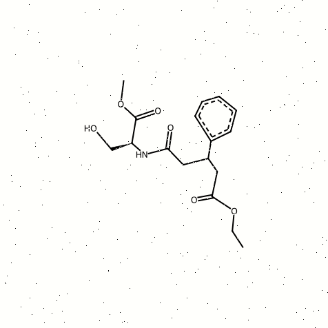 CCOC(=O)CC(CC(=O)N[C@@H](CO)C(=O)OC)c1ccccc1